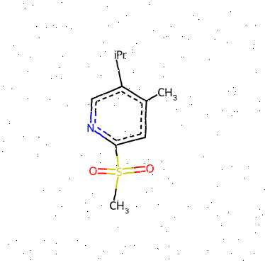 Cc1cc(S(C)(=O)=O)ncc1C(C)C